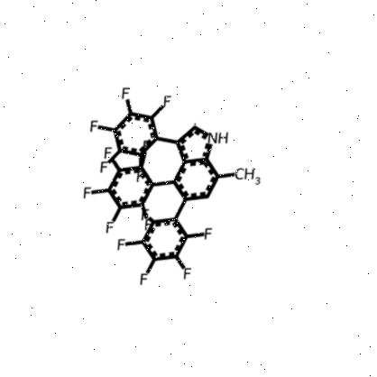 Cc1cc(-c2c(F)c(F)c(F)c(F)c2F)c(-c2c(F)c(F)c(F)c(F)c2F)c2c(-c3c(F)c(F)c(F)c(F)c3F)[c][nH]c12